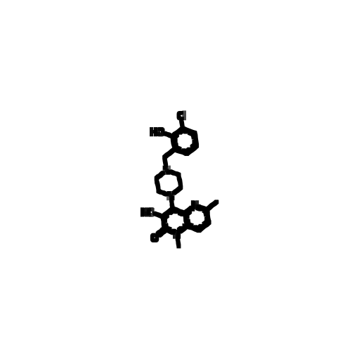 Cc1ccc2c(n1)c(N1CCN(Cc3cccc(Cl)c3O)CC1)c(C#N)c(=O)n2C